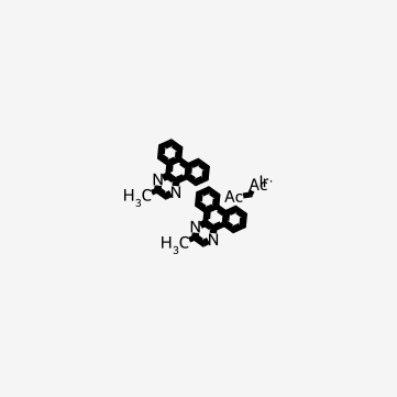 CC(=O)CC(C)=O.Cc1cnc2c3ccccc3c3ccccc3c2n1.Cc1cnc2c3ccccc3c3ccccc3c2n1.[Ir]